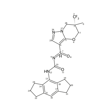 C[C@@]1(C(F)(F)F)COc2c([SH](=O)=NC(=O)Nc3c4c(cc5c3CCC5)CCC4)cnn2C1